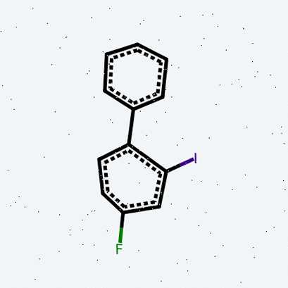 Fc1ccc(-c2ccccc2)c(I)c1